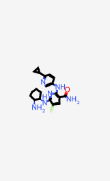 NC(=O)c1cc(F)c(N[C@@H]2CCCC[C@@H]2N)nc1Nc1ccc(C2CC2)nc1